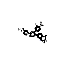 CN/C=C1/C=C(C2=C(c3ccc(NC)c(F)c3)N=C(N3CCC(N)C3)NC2)C=CC1NC